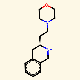 c1ccc2c(c1)CN[C@H](CCN1CCOCC1)C2